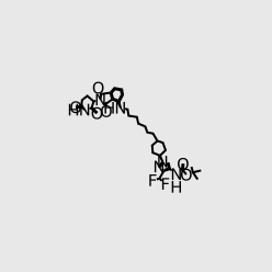 CC(C)(C)OC(=O)Nc1cn(C2CCC(CCCCCCCNc3cccc4c3C(=O)N(C3CCC(=O)NC3=O)C4=O)CC2)nc1C(F)F